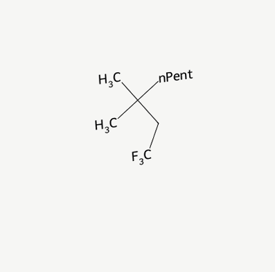 CCCCCC(C)(C)CC(F)(F)F